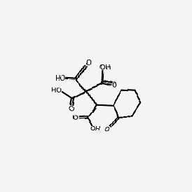 O=C1CCCCC1C(C(=O)O)C(C(=O)O)(C(=O)O)C(=O)O